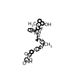 CCc1cccc2cc(O)cc(-c3ncc4c(N5CC6CCC(C5)N6)nc(OCC5(CN6CCC(C)(CN7CC8(CCN(c9ccc%10c(c9)CN(C9CCC(=O)NC9=O)C%10=O)CC8)C7)CC6)CC5)nc4c3F)c12